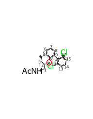 CC(=O)NCC1CCc2cccc(-c3c(Cl)cccc3Cl)c2O1